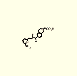 Nc1cccc(CCNC(=O)c2ccc3c(c2)CCN(CC(=O)O)C3)n1